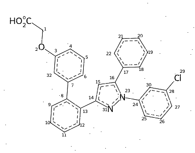 O=C(O)COc1cccc(-c2ccccc2-c2cc(-c3ccccc3)n(-c3cccc(Cl)c3)n2)c1